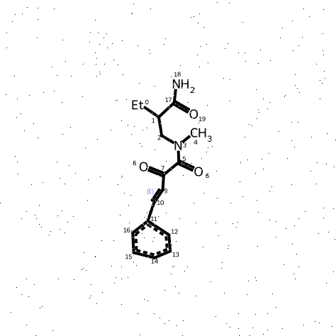 CCC(CN(C)C(=O)C(=O)/C=C/c1ccccc1)C(N)=O